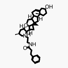 C[C@H]1C[C@H]2O[C@@]34CC[C@H]5C6CC=C7C[C@@H](O)CC[C@]7(C)[C@H]6CC56CC63C[C@@H]4[C@@H]2N(CCNC(=O)CCc2ccccc2)C1